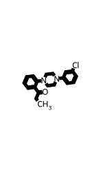 CCC(=O)c1ccccc1N1CCN(c2cccc(Cl)c2)CC1